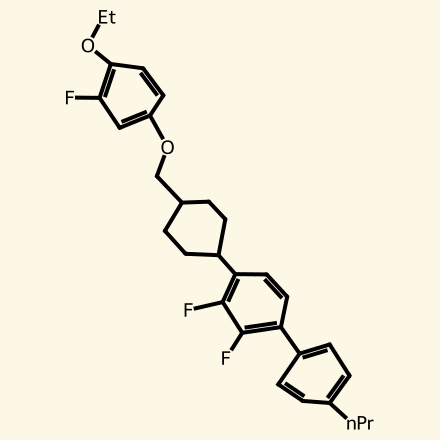 CCCc1ccc(-c2ccc(C3CCC(COc4ccc(OCC)c(F)c4)CC3)c(F)c2F)cc1